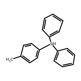 Cc1ccc([SiH](c2ccccc2)c2ccccc2)cc1